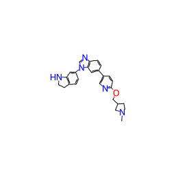 CN1CCC(COc2ccc(-c3ccc4ncn(-c5ccc6c(c5)NCC6)c4c3)cn2)C1